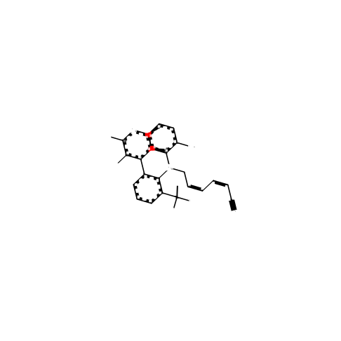 C#C/C=C\C=C/CN(c1ccccc1O)c1c(-c2c(F)c(F)nc(P)c2F)cccc1C(F)(F)F